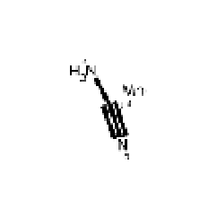 N#CN.[Mn]